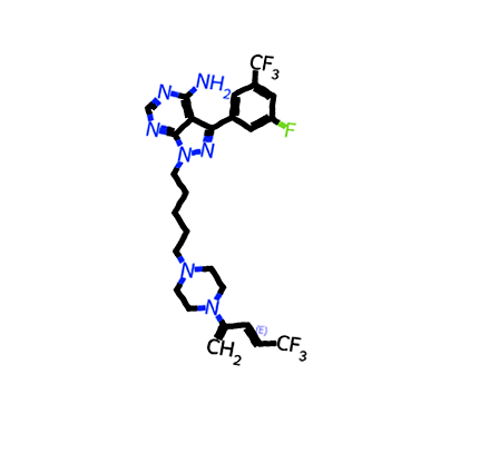 C=C(/C=C/C(F)(F)F)N1CCN(CCCCCn2nc(-c3cc(F)cc(C(F)(F)F)c3)c3c(N)ncnc32)CC1